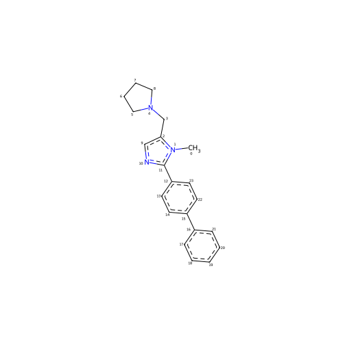 Cn1c(CN2CCCC2)cnc1-c1ccc(-c2ccccc2)cc1